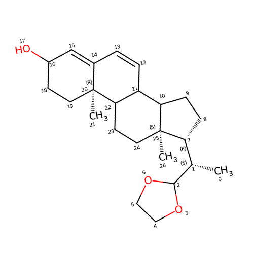 C[C@H](C1OCCO1)[C@H]1CCC2C3C=CC4=CC(O)CC[C@]4(C)C3CC[C@@]21C